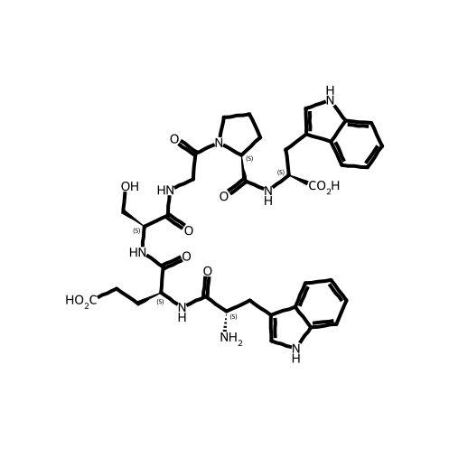 N[C@@H](Cc1c[nH]c2ccccc12)C(=O)N[C@@H](CCC(=O)O)C(=O)N[C@@H](CO)C(=O)NCC(=O)N1CCC[C@H]1C(=O)N[C@@H](Cc1c[nH]c2ccccc12)C(=O)O